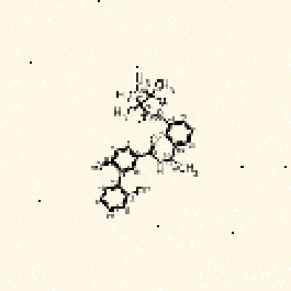 C[C@@H](NC(=O)c1ccc(=O)n(-c2ccccc2F)c1)c1cccc(B2OC(C)(C)C(C)(C)O2)c1